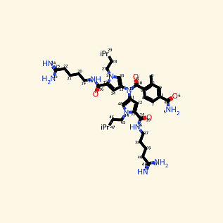 Cc1cc(C(N)=O)ccc1C(=O)N(c1cc(C(=O)NCCCCC(=N)N)n(CCC(C)C)c1)c1cc(C(=O)NCCCCC(=N)N)n(CCC(C)C)c1